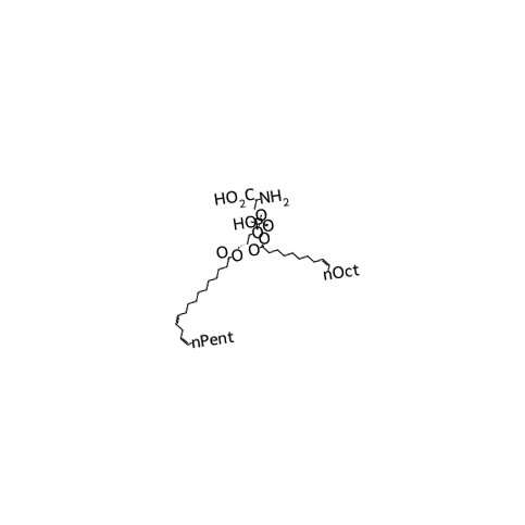 CCCCC/C=C\C/C=C\CCCCCCCCCC(=O)OC[C@H](COP(=O)(O)OC[C@H](N)C(=O)O)OC(=O)CCCCCCC/C=C\CCCCCCCC